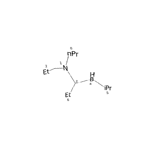 CCCN(CC)C(BC(C)C)CC